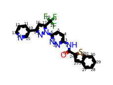 O=C(Nc1ccc(-n2nc(-c3cccnc3)cc2C(F)(F)F)nn1)c1cc2ccccc2s1